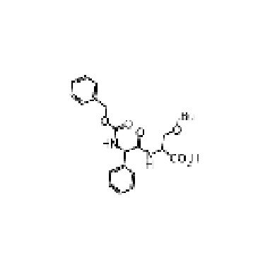 CC(C)(C)OCC(NC(=O)[C@H](NC(=O)OCc1ccccc1)c1ccccc1)C(=O)O